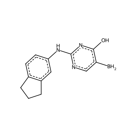 Bc1cnc(Nc2ccc3c(c2)CCC3)nc1O